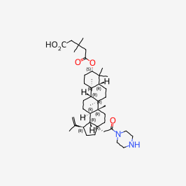 C=C(C)[C@@H]1CC[C@]2(CC(=O)N3CCNCC3)CC[C@]3(C)[C@H](CC[C@@H]4[C@@]5(C)CC[C@H](OC(=O)CC(C)(C)CC(=O)O)C(C)(C)[C@@H]5CC[C@]43C)[C@@H]12